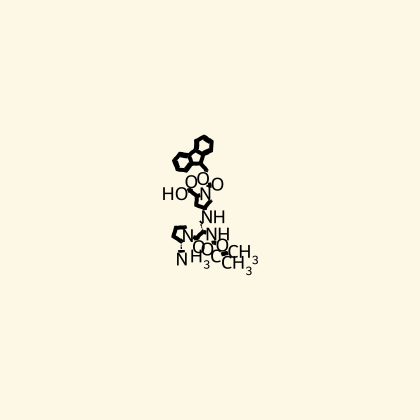 CC(C)(C)OC(=O)N[C@@H](CNC1CC(C(=O)O)N(C(=O)OCC2c3ccccc3-c3ccccc32)C1)C(=O)N1CCC[C@H]1C#N